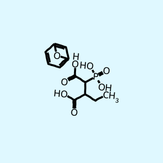 CCC(C(=O)O)C(C(=O)O)P(=O)(O)O.c1cc2cc(c1)O2